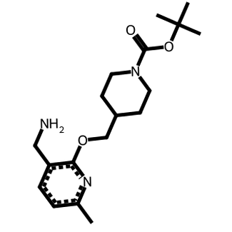 Cc1ccc(CN)c(OCC2CCN(C(=O)OC(C)(C)C)CC2)n1